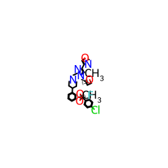 Cc1c(-c2cocn2)nc(CN2CCC(c3cccc4c3O[C@@](C)(c3ccc(Cl)cc3F)O4)CC2)n1C[C@@H]1CCO1